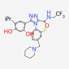 CC(C)c1cc(-c2nnc(C(=O)NCC(F)(F)F)n2-c2ccc(CN3CCCCC3)cc2F)c(O)cc1O